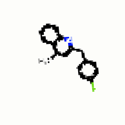 Cc1cc(Cc2ccc(F)cc2)nc2ccccc12